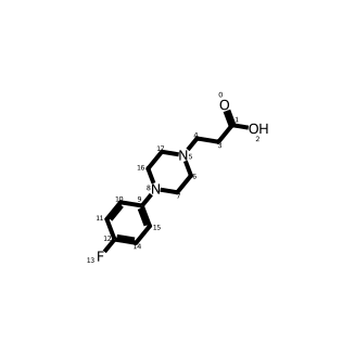 O=C(O)CCN1CCN(c2ccc(F)cc2)CC1